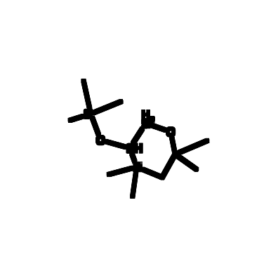 CC1(C)C[Si](C)(C)[SiH](O[Si](C)(C)C)[SiH2]O1